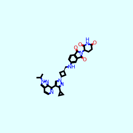 CC(C)n1cc2ccnc(-c3cn([C@H]4C[C@H](CNc5ccc6c(c5)C(=O)N(C5CCC(=O)NC5=O)C6=O)C4)nc3C3CC3)c2n1